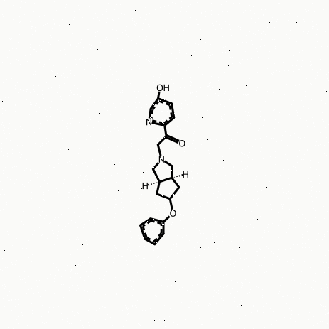 O=C(CN1C[C@H]2CC(Oc3ccccc3)C[C@H]2C1)c1ccc(O)cn1